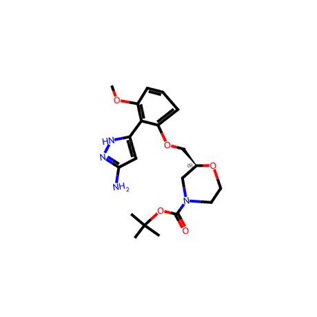 COc1cccc(OC[C@@H]2CN(C(=O)OC(C)(C)C)CCO2)c1-c1cc(N)n[nH]1